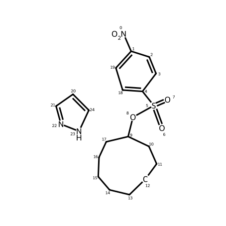 O=[N+]([O-])c1ccc(S(=O)(=O)OC2CCCCCCCC2)cc1.c1cn[nH]c1